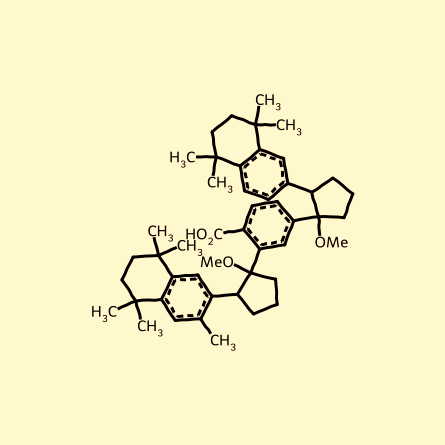 COC1(c2ccc(C(=O)O)c(C3(OC)CCCC3c3cc4c(cc3C)C(C)(C)CCC4(C)C)c2)CCCC1c1ccc2c(c1)C(C)(C)CCC2(C)C